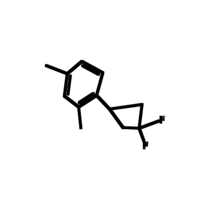 Cc1ccc(C2CC(F)(F)C2)c(C)c1